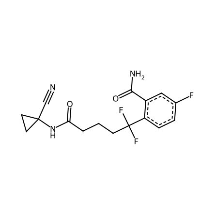 N#CC1(NC(=O)[CH]CCC(F)(F)c2ccc(F)cc2C(N)=O)CC1